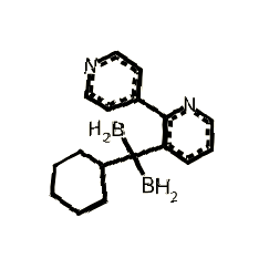 BC(B)(c1cccnc1-c1ccncc1)C1CCCCC1